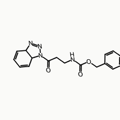 O=C(NCCC(=O)N1N=NC2C=CC=CC21)OCc1ccccc1